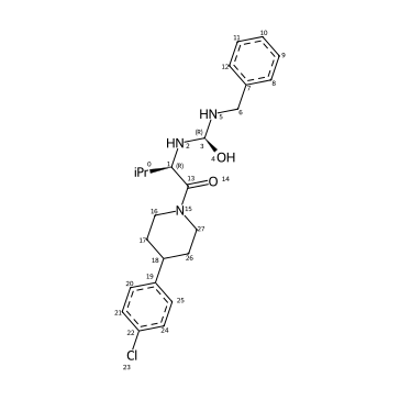 CC(C)[C@@H](N[C@H](O)NCc1ccccc1)C(=O)N1CCC(c2ccc(Cl)cc2)CC1